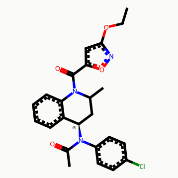 CCOc1cc(C(=O)N2c3ccccc3[C@H](N(C(C)=O)c3ccc(Cl)cc3)CC2C)on1